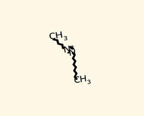 CCCCCCCCCn1cc[n+](CCCCCC)c1